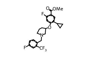 COC(=O)c1cc(C2CC2)c(OC2CCCN(Cc3ccc(F)cc3C(F)(F)F)C2)cc1F